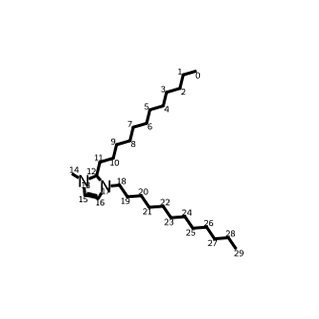 CCCCCCCCCCCCC1N(C)C=CN1CCCCCCCCCCCC